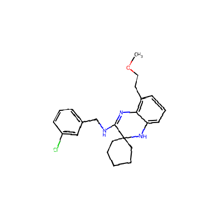 COCCc1cccc2c1N=C(NCc1cccc(Cl)c1)C1(CCCCC1)N2